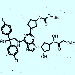 CC(=O)OCC(=O)N(O)C1C[C@@H](n2cnc3c(NCC(O)(c4ccc(Cl)cc4)c4ccc(Cl)cc4)nc(N4CCC(NC(=O)OC(C)(C)C)C4)nc32)[C@@H](O)C1